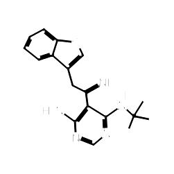 CC(C)(C)Nc1ncnc(N)c1C(=N)Cc1coc2ccccc12